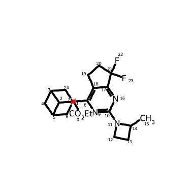 CCOC(=O)CC1C2CC1CN(c1nc(N3CCC3C)nc3c1CCC3(F)F)C2